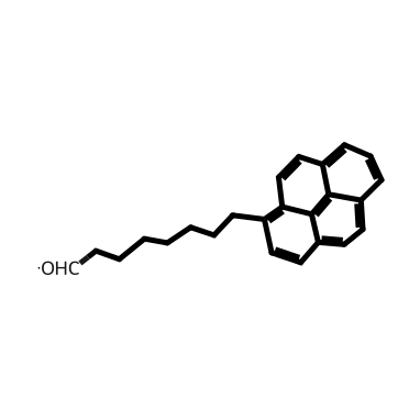 O=[C]CCCCCCCc1ccc2ccc3cccc4ccc1c2c34